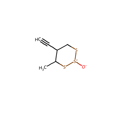 C#CC1CS[S+]([O-])SC1C